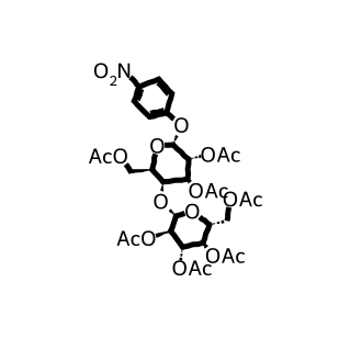 CC(=O)OC[C@H]1O[C@@H](O[C@H]2[C@H](OC(C)=O)[C@@H](OC(C)=O)[C@@H](Oc3ccc([N+](=O)[O-])cc3)O[C@@H]2COC(C)=O)[C@H](OC(C)=O)[C@@H](OC(C)=O)[C@@H]1OC(C)=O